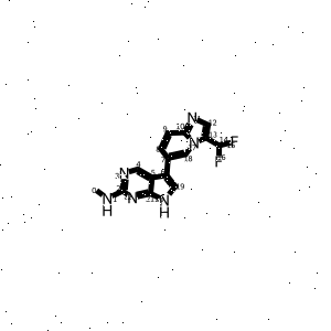 CNc1ncc2c(-c3ccc4ncc(C(F)F)n4c3)c[nH]c2n1